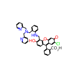 O=C(O)c1ccccc1-c1c2cc(Cl)c(=O)cc-2oc2c(CNc3ccccc3CN(Cc3ccccn3)Cc3ccccn3)c(O)ccc12